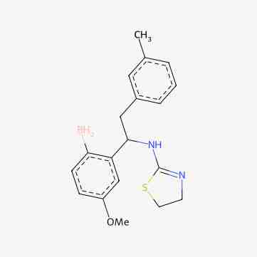 Bc1ccc(OC)cc1C(Cc1cccc(C)c1)NC1=NCCS1